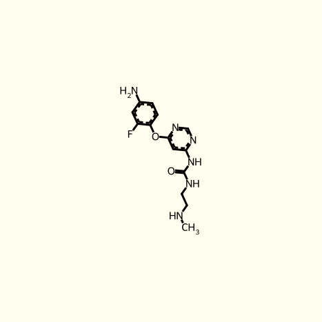 CNCCNC(=O)Nc1cc(Oc2ccc(N)cc2F)ncn1